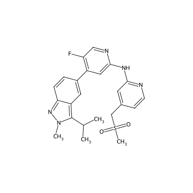 CC(C)c1c2cc(-c3cc(Nc4cc(CS(C)(=O)=O)ccn4)ncc3F)ccc2nn1C